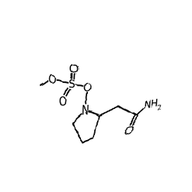 COS(=O)(=O)ON1CCCC1CC(N)=O